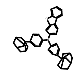 c1ccc2c(c1)oc1cc(N(c3ccc(C45CC6CC(CC(C6)C4)C5)cc3)c3ccc(C45CC6CC(CC(C6)C4)C5)cc3)ccc12